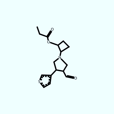 CCC(=O)OC1CCC1N1CC(C=O)C(c2ccsc2)C1